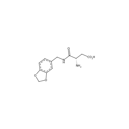 N[C@@H](CC(=O)O)C(=O)NCc1ccc2c(c1)OCO2